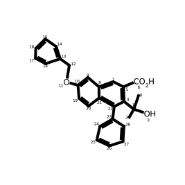 CC(C)(O)c1c(C(=O)O)cc2cc(OCc3ccccc3)ccc2c1-c1ccccc1